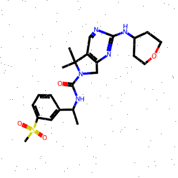 CC(NC(=O)N1Cc2nc(NC3CCOCC3)ncc2C1(C)C)c1cccc(S(C)(=O)=O)c1